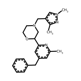 Cc1cc(Cc2ccccc2)cc(C2CN(Cc3cn(C)nc3C)CCO2)n1